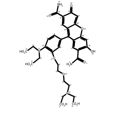 NC(=O)c1cc2c(-c3ccc(N(CC(=O)O)CC(=O)O)c(OCCOCCN(CC(=O)O)CC(=O)O)c3)c3cc(C(N)=O)c(=O)cc-3oc2cc1O